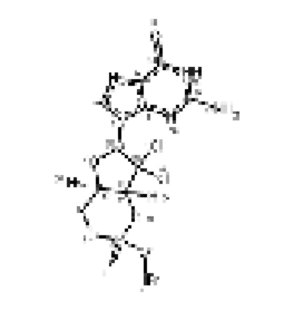 CC(C)OP1(=S)OC[C@H]2O[C@@H](n3cnc4c(=O)[nH]c(N)nc43)C(Cl)(Cl)[C@@H]2O1